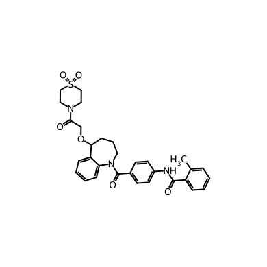 Cc1ccccc1C(=O)Nc1ccc(C(=O)N2CCCC(OCC(=O)N3CCS(=O)(=O)CC3)c3ccccc32)cc1